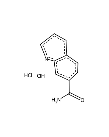 Cl.Cl.NC(=O)c1ccc2cccnc2c1